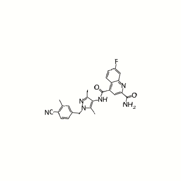 Cc1cc(Cn2nc(C)c(NC(=O)c3cc(C(N)=O)nc4cc(F)ccc34)c2C)ccc1C#N